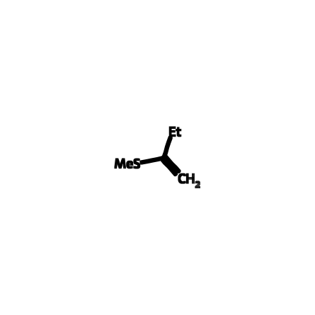 [CH2]CC(=C)SC